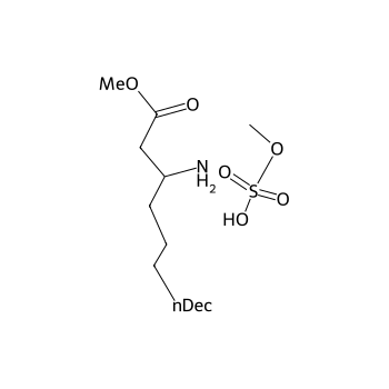 CCCCCCCCCCCCCC(N)CC(=O)OC.COS(=O)(=O)O